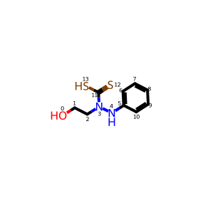 OCCN(Nc1ccccc1)C(=S)S